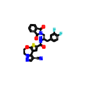 N#Cc1cnn2c1-c1cc(C(=O)NC(Cc3ccc(F)c(F)c3)CN3C(=O)c4ccccc4C3=O)sc1OCC2